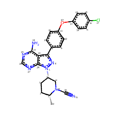 C[C@@H]1CC[C@H](n2nc(-c3ccc(Oc4ccc(Cl)cc4)cc3)c3c(N)ncnc32)CN1C#N